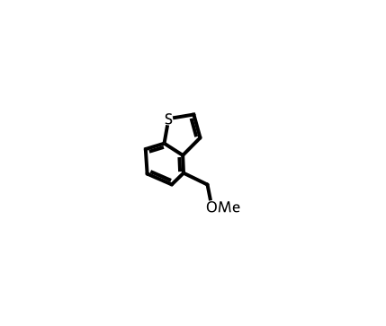 COCc1cccc2sccc12